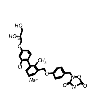 Cc1c(COc2ccc(Cn3oc(=O)[n-]c3=O)cc2)cccc1-c1ccc(OC[C@@H](O)CO)cc1Cl.[Na+]